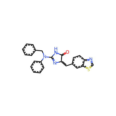 O=C1NC(N(Cc2ccccc2)c2ccccc2)=NC1=Cc1ccc2ncsc2c1